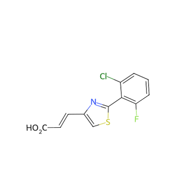 O=C(O)/C=C/c1csc(-c2c(F)cccc2Cl)n1